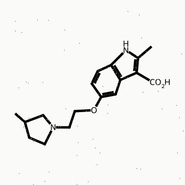 Cc1[nH]c2ccc(OCCN3CCC(C)C3)cc2c1C(=O)O